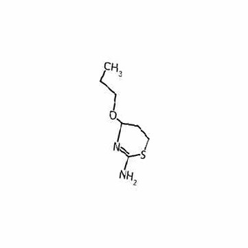 CCCOC1CCSC(N)=N1